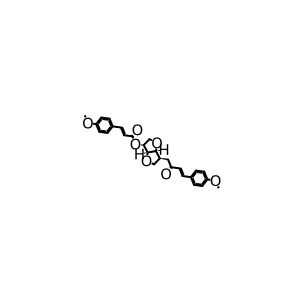 COc1ccc(/C=C/C(=O)C[C@H]2CO[C@@H]3[C@H]2OC[C@H]3OC(=O)/C=C/c2ccc(OC)cc2)cc1